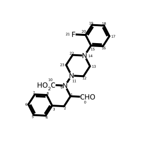 O=CC(Cc1ccccc1)N(C(=O)O)N1CCN(c2ccccc2F)CC1